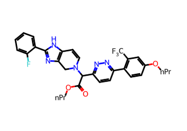 CCCOC(=O)C(c1ccc(-c2ccc(OCCC)cc2C(F)(F)F)nn1)N1C=Cc2[nH]c(-c3ccccc3F)nc2C1